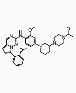 COc1cc(N2CCCC(N3CCN(C(C)=O)CC3)C2)ccc1Nc1ncc2ccc(-c3ccccc3OC)n2n1